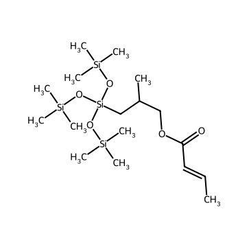 CC=CC(=O)OCC(C)C[Si](O[Si](C)(C)C)(O[Si](C)(C)C)O[Si](C)(C)C